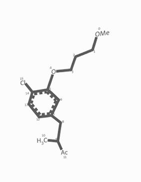 COCCCOc1cc(CC(C)C(C)=O)ccc1Cl